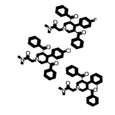 CN(C)C(=O)CN1C[C@H](C(=O)c2ccccc2)C(c2ccc(Cl)cc2)[C@@H](C(=O)c2ccccc2)C1.CN(C)C(=O)CN1C[C@H](C(=O)c2ccccc2)C(c2ccc(F)cc2)[C@@H](C(=O)c2ccccc2)C1.CN(C)C(=O)CN1C[C@H](C(=O)c2ccccc2)C(c2ccccc2I)[C@@H](C(=O)c2ccccc2)C1